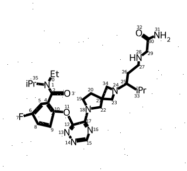 CCN(C(=O)c1cc(F)ccc1Oc1nncnc1N1CCC2(C1)CN(C(CCNCC(N)=O)C(C)C)C2)C(C)C